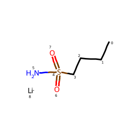 CCCCS(N)(=O)=O.[Li]